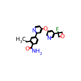 CCc1cc(-c2cc(Oc3cncc(C4(F)COC4)c3)ccn2)ccc1C(N)=O